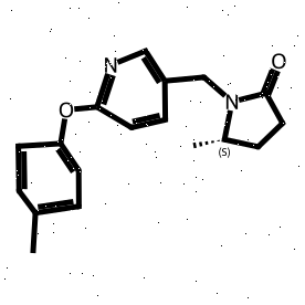 Cc1ccc(Oc2ccc(CN3C(=O)CC[C@@H]3C)cn2)cc1